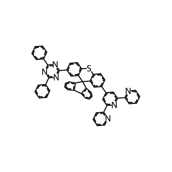 c1ccc(-c2nc(-c3ccccc3)nc(-c3ccc4c(c3)C3(c5cc(-c6cc(-c7ccccn7)nc(-c7ccccn7)c6)ccc5S4)c4ccccc4-c4ccccc43)n2)cc1